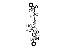 O=C(CCN1C(=O)c2ccccc2C1=O)NCCSOC[C@H]1O[C@@H](N2C=CC(NC(=O)c3ccccc3)NC2=O)[C@@H](O)C1O